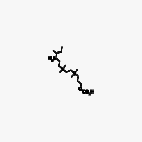 CC=C(C)[SiH2]CC[Si](C)(C)CC[Si](C)(C)CCCOC(=O)O